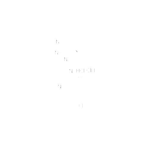 C[C@@H]1CCc2ncnc(N3CCN(C(=O)[C@@H](CN4CCCC4)c4ccc(Cl)cc4)CC3)c21.Cl.Cl